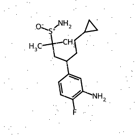 CC(C)(CC(CCC1CC1)c1ccc(F)c(N)c1)[S+](N)[O-]